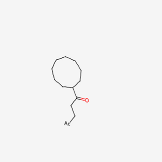 CC(=O)CCC(=O)C1CCCCCCCC1